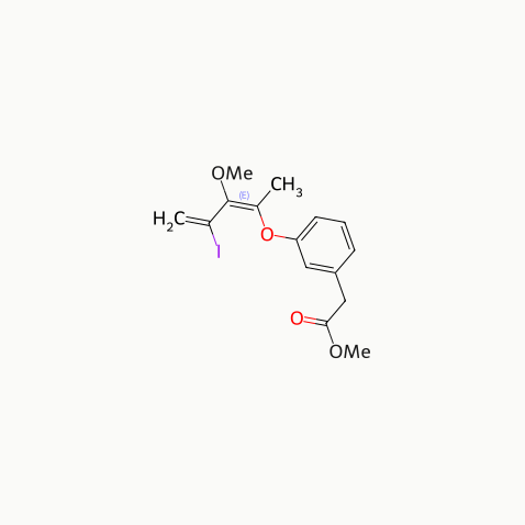 C=C(I)/C(OC)=C(/C)Oc1cccc(CC(=O)OC)c1